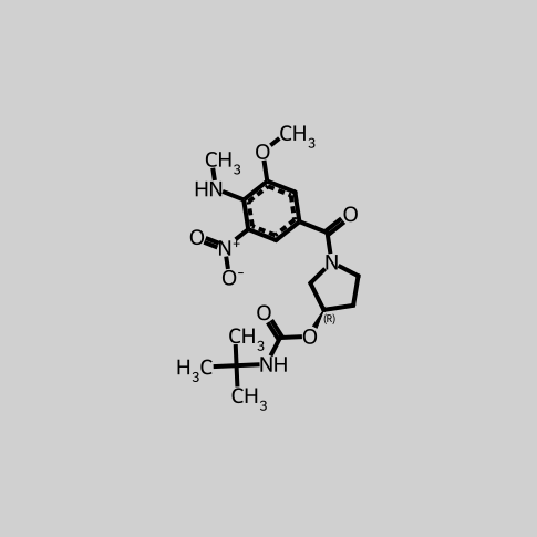 CNc1c(OC)cc(C(=O)N2CC[C@@H](OC(=O)NC(C)(C)C)C2)cc1[N+](=O)[O-]